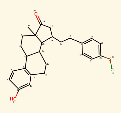 CC12CCC3c4ccc(O)cc4CCC3C1C(CCc1ccc(SCl)cc1)CC2=O